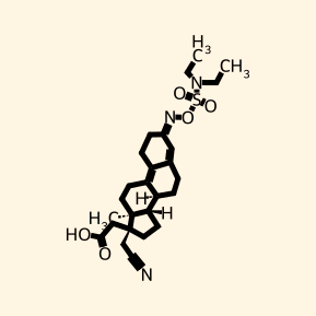 CCN(CC)S(=O)(=O)O/N=C1\C=C2CC[C@@H]3C(=C2CC1)CC[C@@]1(C)[C@H]3CC[C@]1(CC#N)CC(=O)O